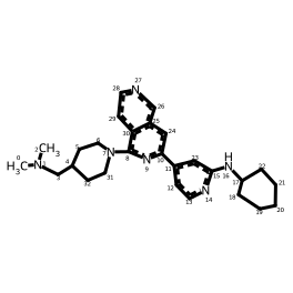 CN(C)CC1CCN(c2nc(-c3ccnc(NC4CCCCC4)c3)cc3cnccc23)CC1